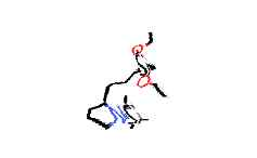 CCO[Si](C)(CCCC1CCCN1[Si](C)(C)C)OCC